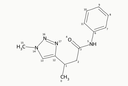 CC(CC(=O)Nc1ccccc1)c1cn(C)nn1